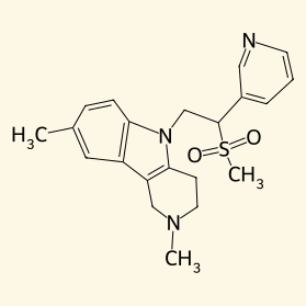 Cc1ccc2c(c1)c1c(n2CC(c2cccnc2)S(C)(=O)=O)CCN(C)C1